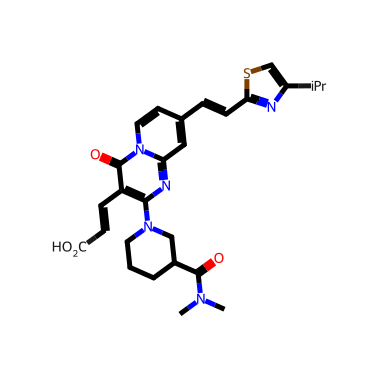 CC(C)c1csc(C=Cc2ccn3c(=O)c(C=CC(=O)O)c(N4CCCC(C(=O)N(C)C)C4)nc3c2)n1